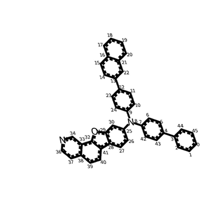 c1ccc(-c2ccc(N(c3ccc(-c4ccc5ccccc5c4)cc3)c3ccc4c(c3)oc3c5cnccc5ccc43)cc2)cc1